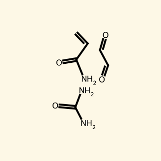 C=CC(N)=O.NC(N)=O.O=CC=O